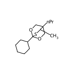 CCCC12COC(C3CCCCC3)(OC1)SC2C